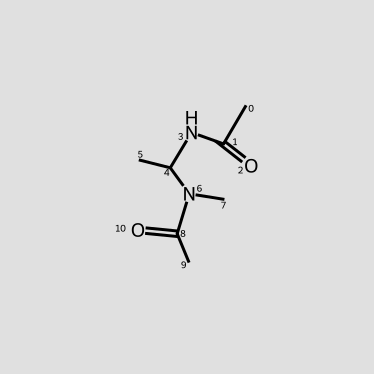 CC(=O)NC(C)N(C)C(C)=O